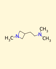 CN(C)CCC1CN(C)C1